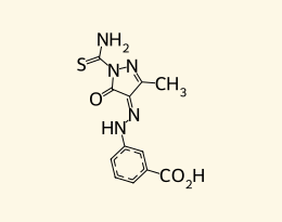 CC1=NN(C(N)=S)C(=O)C1=NNc1cccc(C(=O)O)c1